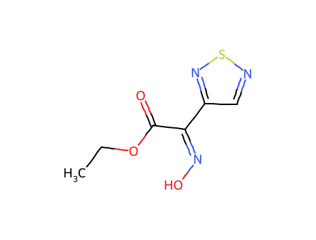 CCOC(=O)C(=NO)c1cnsn1